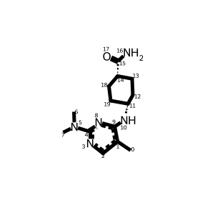 Cc1cnc(N(C)C)nc1N[C@H]1CC[C@@H](C(N)=O)CC1